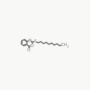 CCCCCCCCCCSc1nc2ccccc2c(=O)o1